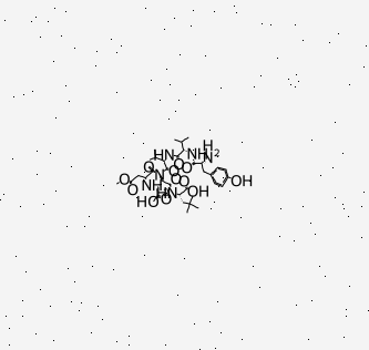 COC(=O)C[C@H](N)C(=O)N(C(=O)[C@@H](NC(=O)[C@@H](NC(=O)[C@@H](N)Cc1ccc(O)cc1)C(C)C)C(C)C)[C@@H](CC(=O)O)C(=O)N[C@@H](CC(C)(C)C)C(=O)O